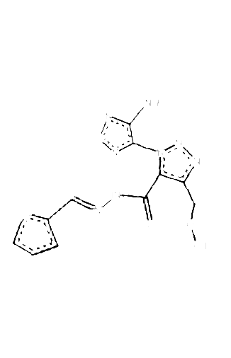 COCc1nnn(-c2nonc2N)c1C(=O)N/N=C/c1ccco1